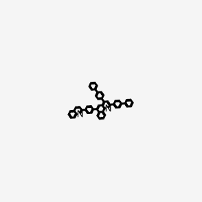 c1ccc(-c2ccc(-c3cc(-c4ccc(-c5ccccc5)cc4)c4cc(-c5ccc(-c6ccc7ccccc7n6)cc5)c5ccccc5c4n3)cc2)cc1